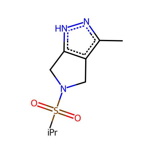 Cc1n[nH]c2c1CN(S(=O)(=O)C(C)C)C2